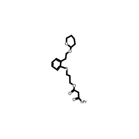 CCCC(=O)CC(=O)OCCCSc1ccccc1CCOC1CCCCO1